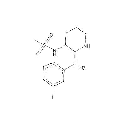 CS(=O)(=O)N[C@@H]1CCCN[C@@H]1Cc1cccc(I)c1.Cl